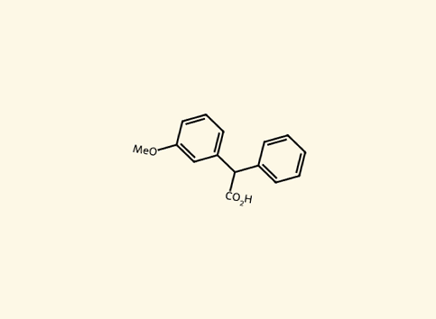 COc1cccc(C(C(=O)O)c2ccccc2)c1